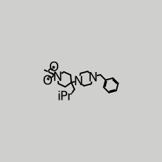 CC(C)CC1(N2CCN(Cc3ccccc3)CC2)CCN(S(C)(=O)=O)CC1